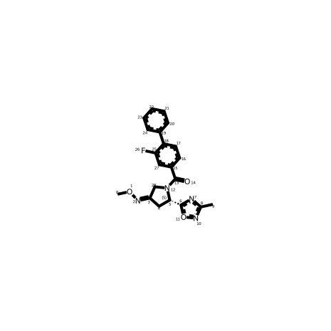 CON=C1C[C@@H](c2nc(C)no2)N(C(=O)c2ccc(-c3ccccc3)c(F)c2)C1